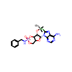 CC(C)(C)[Si](C)(C)O[C@H]1C2O[P@](=O)(NCc3ccccc3)OCC2O[C@H]1n1c(Br)nc2c(N)ncnc21